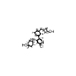 CC1(O)CCC(Nc2cc(Cl)ncc2-c2cc(CN3CC(O)C3)ccn2)CC1